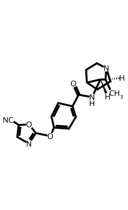 C[C@H]1[C@H](NC(=O)c2ccc(Oc3ncc(C#N)o3)cc2)C2CCN1CC2